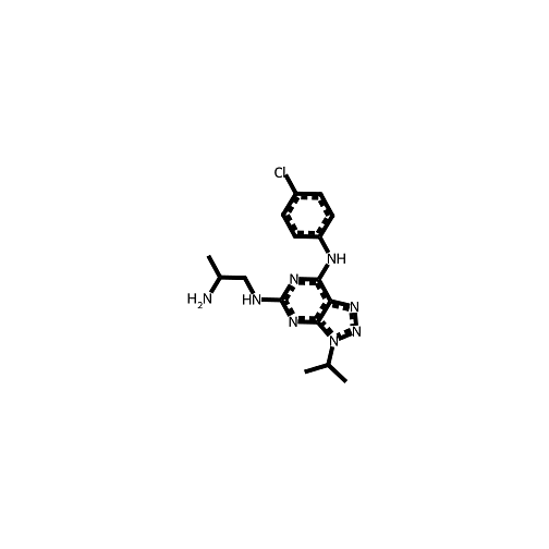 CC(N)CNc1nc(Nc2ccc(Cl)cc2)c2nnn(C(C)C)c2n1